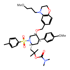 COCCCN1CCOc2ccc(CO[C@H]3CN(S(=O)(=O)c4ccc(C)cc4)[C@@H](CC(C)(C)OC(=O)N(C)C)C[C@@H]3c3ccc(OC)cc3)cc21